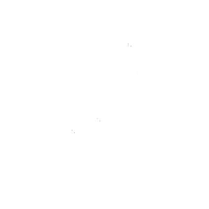 COc1cccc(CN2C(=O)N(C34CC5CC(CC(C5)C3)C4)C(=O)C2CCCC(=O)NO)c1